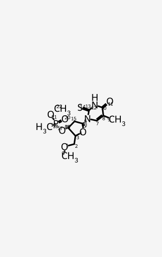 COCC1O[C@@H](n2cc(C)c(=O)[nH]c2=S)C[C@H]1OP(C)(=O)OC